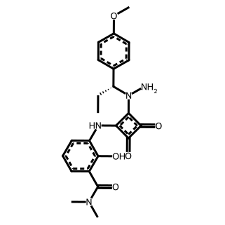 CC[C@H](c1ccc(OC)cc1)N(N)c1c(Nc2cccc(C(=O)N(C)C)c2O)c(=O)c1=O